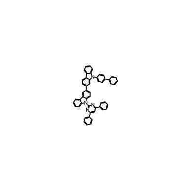 c1ccc(-c2ccc(-n3c4ccccc4c4ccc(-c5ccc6c(c5)c5ccccc5n6-c5nc(-c6ccccc6)cc(-c6ccccc6)n5)cc43)cc2)cc1